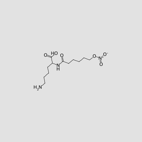 NCCCCC(NC(=O)CCCCCO[N+](=O)[O-])C(=O)O